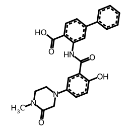 CN1CCN(c2ccc(O)c(C(=O)Nc3cc(-c4ccccc4)ccc3C(=O)O)c2)CC1=O